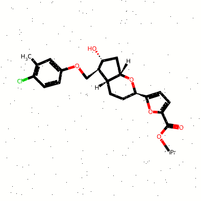 Cc1cc(OC[C@@H]2[C@H]3CC[C@H](c4ccc(C(=O)OC(C)C)o4)O[C@H]3C[C@H]2O)ccc1Cl